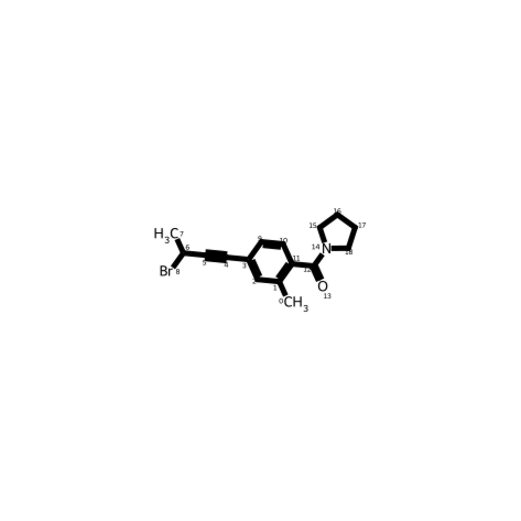 Cc1cc(C#CC(C)Br)ccc1C(=O)N1CCCC1